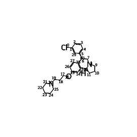 Clc1cccc([C@H]2CN3CCC[C@@H]3c3cc(OCCCN4CCCCC4)ccc32)c1